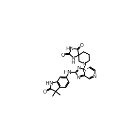 CC1(C)C(=O)Nc2cc(NC3=N[N+]4(N5CCCC6(C5)NC(=O)NC6=O)C=CN=CC4=N3)ccc21